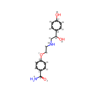 NC(=O)c1ccc(OCCNCC(O)c2ccc(O)cc2)cc1